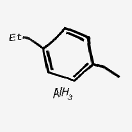 [AlH3].[CH2]Cc1ccc(C)cc1